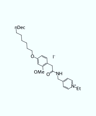 CCCCCCCCCCCCCCCCOc1ccc(CC(=O)NCc2cc[n+](CC)cc2)c(OC)c1.[I-]